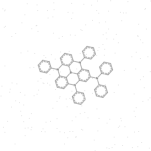 c1ccc(N(c2ccccc2)c2cc3c4c(c2)N(c2ccccc2)c2cccc5c2B4c2c(cccc2N3c2ccccc2)N5c2ccccc2)cc1